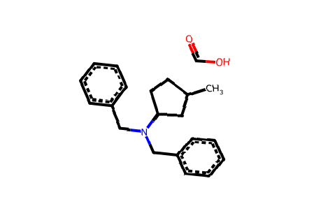 CC1CCC(N(Cc2ccccc2)Cc2ccccc2)C1.O=CO